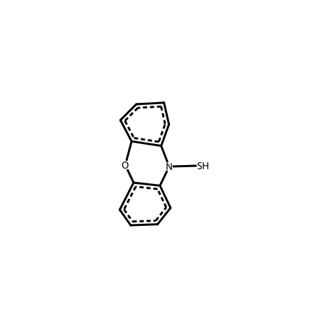 SN1c2ccccc2Oc2ccccc21